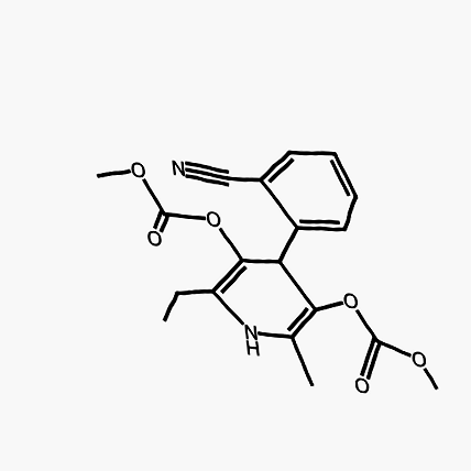 CCC1=C(OC(=O)OC)C(c2ccccc2C#N)C(OC(=O)OC)=C(C)N1